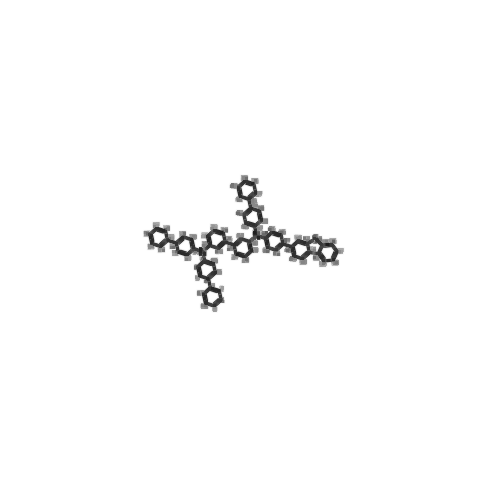 c1ccc(-c2ccc(N(c3ccc(-c4ccccc4)cc3)c3cccc(-c4cccc(N(c5ccc(-c6ccccc6)cc5)c5ccc(-c6ccc7c(c6)sc6ccccc67)cc5)c4)c3)cc2)cc1